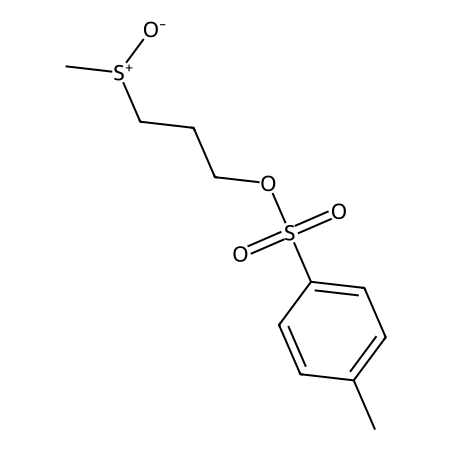 Cc1ccc(S(=O)(=O)OCCC[S+](C)[O-])cc1